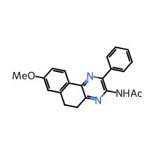 COc1ccc2c(c1)CCc1nc(NC(C)=O)c(-c3ccccc3)nc1-2